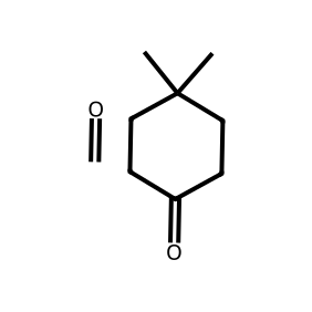 C=O.CC1(C)CCC(=O)CC1